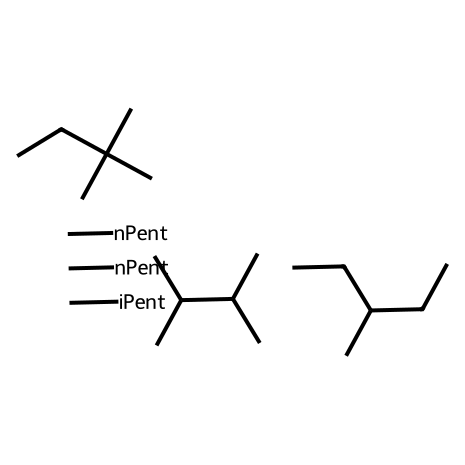 CC(C)C(C)C.CCC(C)(C)C.CCC(C)CC.CCCC(C)C.CCCCCC.CCCCCC